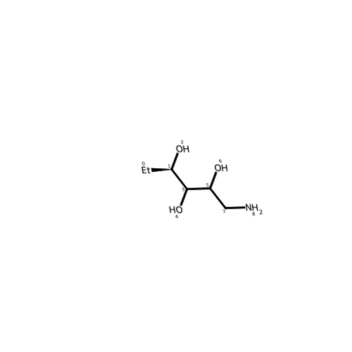 CC[C@@H](O)C(O)C(O)CN